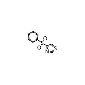 O=S(=O)(c1ccccc1)c1cscn1